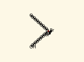 COCCOCCOCCOCCOCCOCCOCCOCCOCCOCCOCCOCCCC1(CCCC(COCCOCCOCCOCCOCCOCCOCCOCCOCCOCCO)OC)c2cc(Br)ccc2-c2ccc(Br)cc21